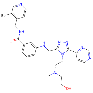 CCc1cnccc1CNC(=O)c1cccc(NCc2nnc(-c3ccncn3)n2CCN(C)CCO)c1